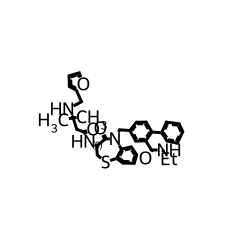 CCNC(=O)c1cc(CN2C(=O)[C@H](NC(=O)CC(C)(C)NCc3ccco3)CSc3ccccc32)ccc1-c1ccccc1